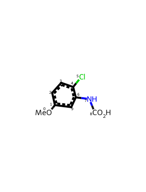 COc1ccc(Cl)c(NC(=O)O)c1